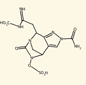 N=C(CC1c2nn(C(N)=O)cc2C2CN1C(=O)N2OS(=O)(=O)O)NC(=O)O